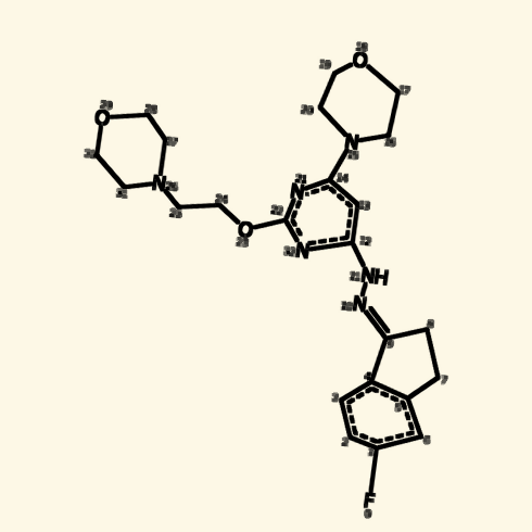 Fc1ccc2c(c1)CCC2=NNc1cc(N2CCOCC2)nc(OCCN2CCOCC2)n1